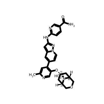 Cc1cc(-c2ccn3nc(Nc4ccc(C(N)=O)cn4)cc3c2)c(O[C@H]2C[C@H]3COC[C@@H](C2)N3C(=O)O)cn1